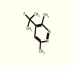 Cc1cc(C(C)(C)F)c(C)nn1